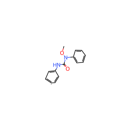 CON(C(=O)Nc1cc[c]cc1)c1ccccc1